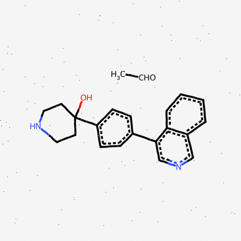 CC=O.OC1(c2ccc(-c3cncc4ccccc34)cc2)CCNCC1